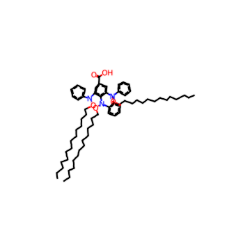 CCCCCCCCCCCCCCON(c1ccccc1)c1cc(C(=O)O)cc(N(OCCCCCCCCCCCCCC)c2ccccc2)c1N(OCCCCCCCCCCCCCC)c1ccccc1